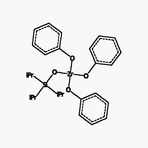 CC(C)[Si]([O][Zr]([O]c1ccccc1)([O]c1ccccc1)[O]c1ccccc1)(C(C)C)C(C)C